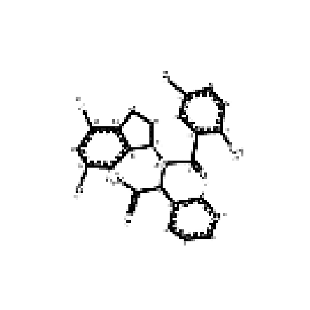 NC(=O)C(c1cccnc1)N(C(=O)c1cc(Cl)ccc1O)[C@@H]1CCc2c(F)cc(Cl)cc21